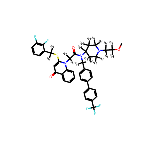 [2H]C([2H])(Sc1cc(=O)c2ccccc2n1C([2H])([2H])C(=O)N(C([2H])(C)c1ccc(-c2ccc(C(F)(F)F)cc2)cc1)C1([2H])C([2H])([2H])C([2H])([2H])N(C([2H])([2H])C([2H])([2H])OC)C([2H])([2H])C1([2H])[2H])c1cccc(F)c1F